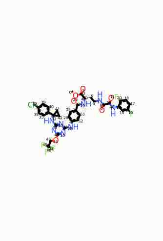 COC(=O)[C@H](CCNC(=O)C(=O)Nc1cc(F)ccc1F)NC(=O)c1ccc(Nc2nc(NC3(c4ccc(Cl)cc4)CC3)nc(OCC(F)(F)F)n2)cc1